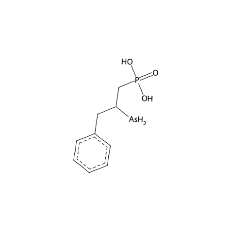 O=P(O)(O)CC([AsH2])Cc1ccccc1